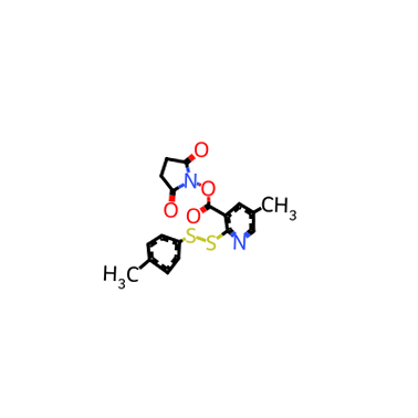 Cc1ccc(SSc2ncc(C)cc2C(=O)ON2C(=O)CCC2=O)cc1